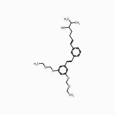 CCOCOc1cc(C=Cc2cccc(C=CCCC(O)C(C)C)c2)cc(OCOCC)c1